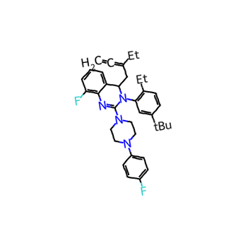 C=C=C(CC)CC1c2cccc(F)c2N=C(N2CCN(c3ccc(F)cc3)CC2)N1c1cc(C(C)(C)C)ccc1CC